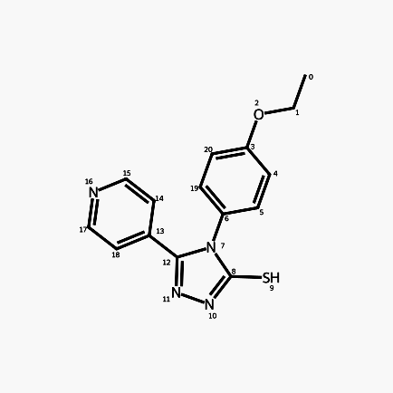 CCOc1ccc(-n2c(S)nnc2-c2ccncc2)cc1